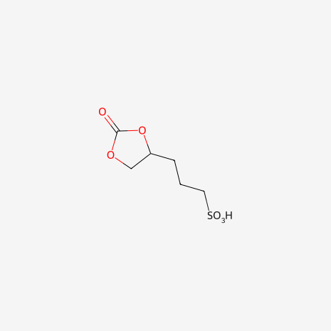 O=C1OCC(CCCS(=O)(=O)O)O1